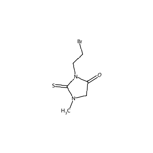 CN1CC(=O)N(CCBr)C1=S